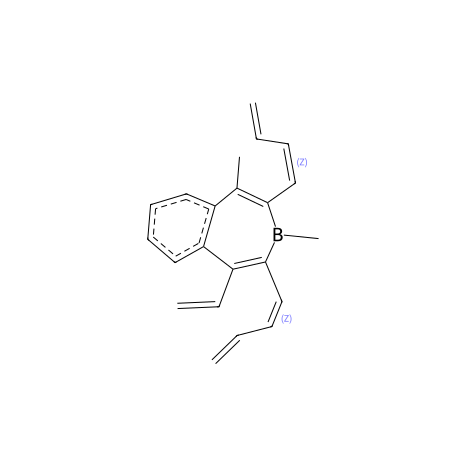 C=C/C=C\C1=C(C)c2ccccc2C(C=C)=C(/C=C\C=C)B1C